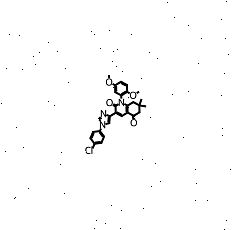 COc1ccc(OC)c(-n2c3c(cc(-c4cn(-c5ccc(Cl)cc5)cn4)c2=O)C(=O)CC(C)(C)C3)c1